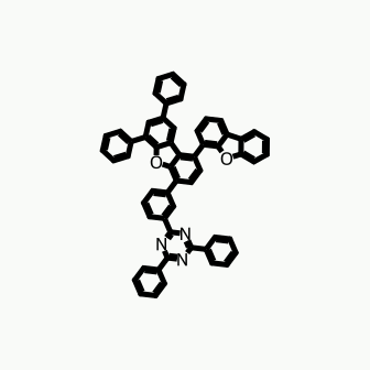 c1ccc(-c2cc(-c3ccccc3)c3oc4c(-c5cccc(-c6nc(-c7ccccc7)nc(-c7ccccc7)n6)c5)ccc(-c5cccc6c5oc5ccccc56)c4c3c2)cc1